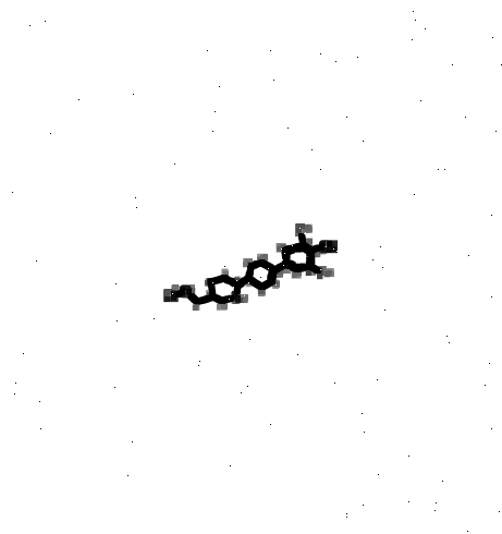 CCOCC1CCC(C2CC=C(c3cc(F)c(C#N)c(F)c3)CC2)SC1